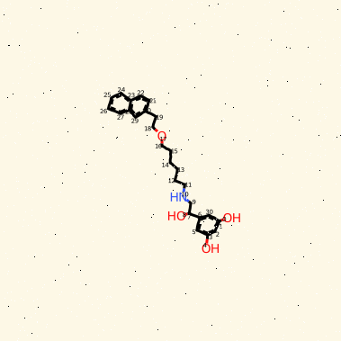 Oc1cc(O)cc(C(O)CNCCCCCCOCCc2ccc3ccccc3c2)c1